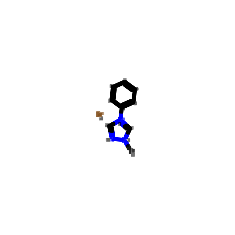 CCn1c[n+](-c2ccccc2)cn1.[Br-]